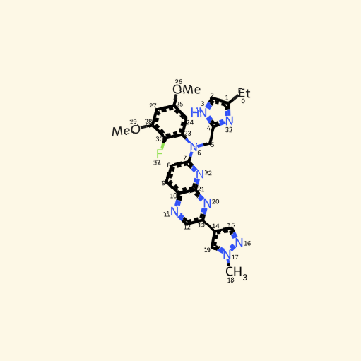 CCc1c[nH]c(CN(c2ccc3ncc(-c4cnn(C)c4)nc3n2)c2cc(OC)cc(OC)c2F)n1